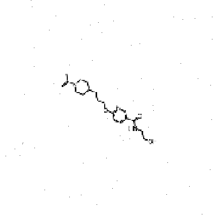 C=C(C)N1CCC(CCCOc2ccc(C(=O)NCCO)cn2)CC1